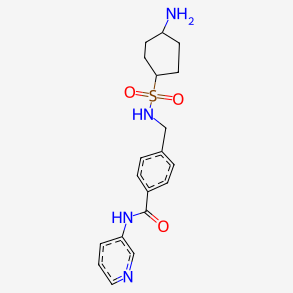 NC1CCC(S(=O)(=O)NCc2ccc(C(=O)Nc3cccnc3)cc2)CC1